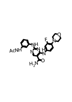 CC(=O)Nc1cccc(Nc2ncc(C(N)=O)c(Nc3ccc(N4CCOCC4)c(F)c3)n2)c1